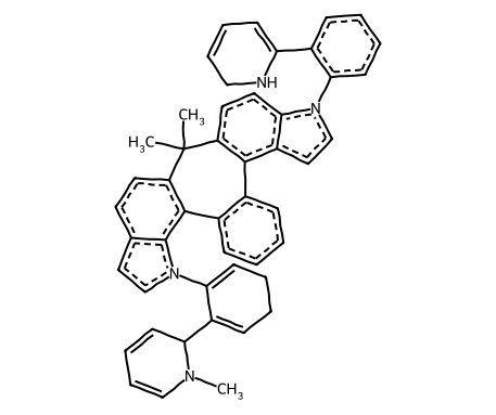 CN1C=CC=CC1C1=CCCC=C1n1ccc2ccc3c(c21)-c1ccccc1-c1c(ccc2c1ccn2-c1ccccc1C1=CC=CCN1)C3(C)C